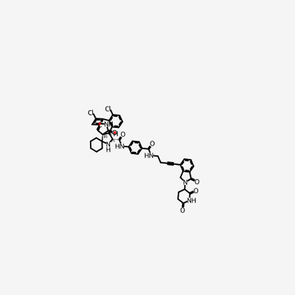 O=C1CCC(N2Cc3c(C#CCCNC(=O)c4ccc(NC(=O)[C@@H]5NC6(CCCCC6)[C@]67C(=O)Nc8cc(Cl)c(cc86)-c6c(Cl)cccc6[C@@H]57)cc4)cccc3C2=O)C(=O)N1